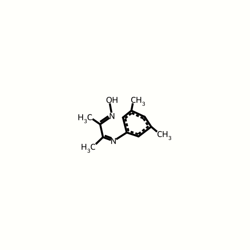 CC(=NO)C(C)=Nc1cc(C)cc(C)c1